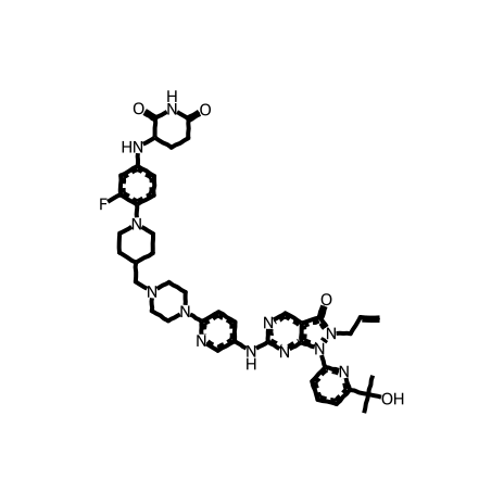 C=CCn1c(=O)c2cnc(Nc3ccc(N4CCN(CC5CCN(c6ccc(NC7CCC(=O)NC7=O)cc6F)CC5)CC4)nc3)nc2n1-c1cccc(C(C)(C)O)n1